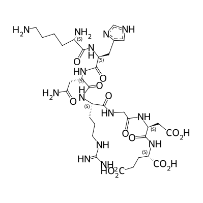 N=C(N)NCCC[C@H](NC(=O)[C@H](CC(N)=O)NC(=O)[C@H](Cc1c[nH]cn1)NC(=O)[C@@H](N)CCCCN)C(=O)NCC(=O)N[C@@H](CC(=O)O)C(=O)N[C@@H](CCC(=O)O)C(=O)O